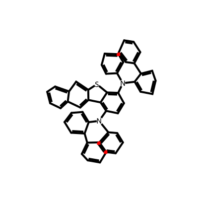 c1ccc(-c2ccccc2N(c2ccccc2)c2ccc(N(c3ccccc3)c3ccccc3-c3ccccc3)c3c2sc2cc4ccccc4cc23)cc1